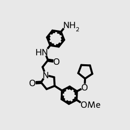 COc1ccc(C2CC(=O)N(CC(=O)Nc3ccc(N)cc3)C2)cc1OC1CCCC1